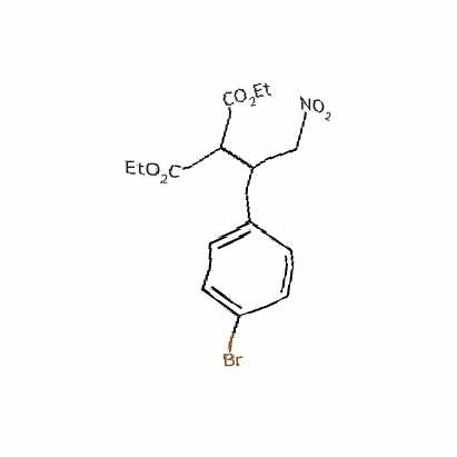 CCOC(=O)C(C(=O)OCC)C(C[N+](=O)[O-])c1ccc(Br)cc1